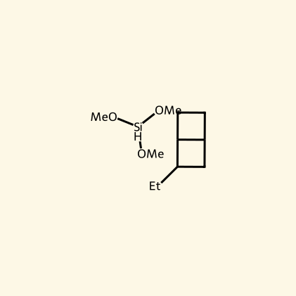 CCC1CC2CCC12.CO[SiH](OC)OC